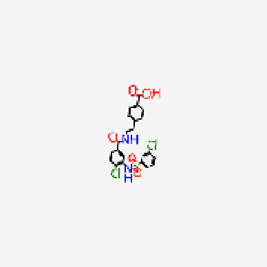 O=C(O)c1ccc(CCNC(=O)c2ccc(Cl)c(NS(=O)(=O)c3cccc(Cl)c3)c2)cc1